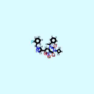 CC(c1ccccc1)n1c(C=Cc2cnn(Cc3ccccc3F)c2)c([N+](=O)[O-])c(=O)n(C2CCC2)c1=O